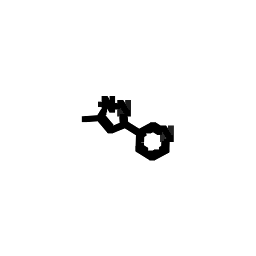 CC1=CC(c2cccnc2)=N[N]1